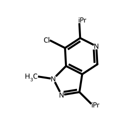 CC(C)c1ncc2c(C(C)C)nn(C)c2c1Cl